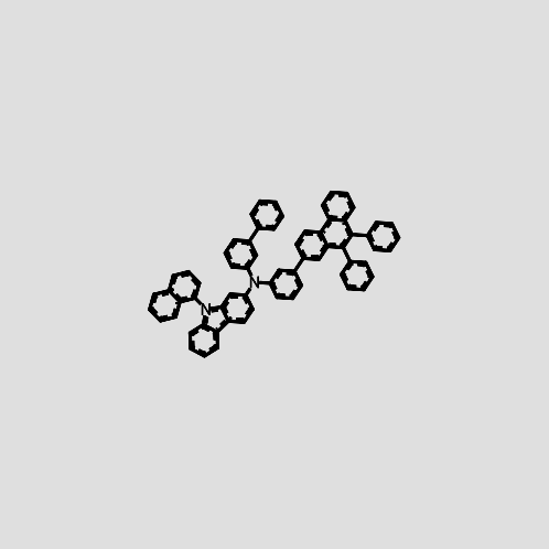 c1ccc(-c2cccc(N(c3cccc(-c4ccc5c(c4)c(-c4ccccc4)c(-c4ccccc4)c4ccccc45)c3)c3ccc4c5ccccc5n(-c5cccc6ccccc56)c4c3)c2)cc1